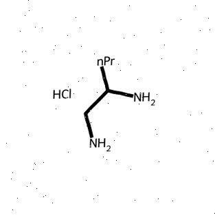 CCCC(N)CN.Cl